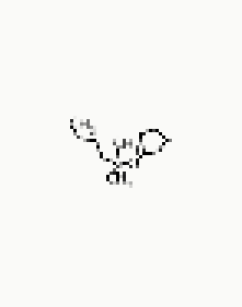 CCCC[Si](C)(C)OC1C[CH]CC1